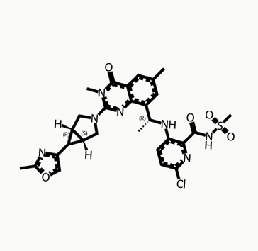 Cc1cc([C@@H](C)Nc2ccc(Cl)nc2C(=O)NS(C)(=O)=O)c2nc(N3C[C@@H]4C(c5coc(C)n5)[C@@H]4C3)n(C)c(=O)c2c1